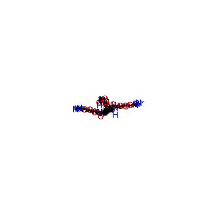 [N-]=[N+]=NCCOCCOCCOCCNC(=O)c1ccc2c(c1)C(COC(=O)ON1C(=O)CCC1=O)c1cc(C(=O)NCCOCCOCCOCCN=[N+]=[N-])ccc1-2